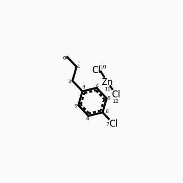 [CH2]CCc1ccc(Cl)cc1.[Cl][Zn][Cl]